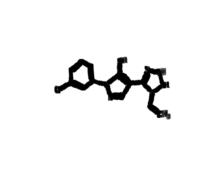 CCN1NNN=C1c1cnn(-c2cccc(Cl)c2)c1S